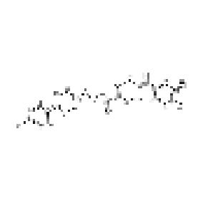 Cc1ccc(N2CCN(CCCC(=O)N3CCC(Nc4ccc(C)c(Cl)c4)CC3)CC2)cc1